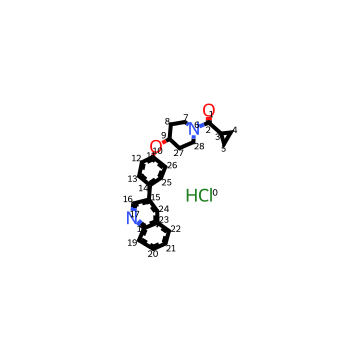 Cl.O=C(C1CC1)N1CCC(Oc2ccc(-c3cnc4ccccc4c3)cc2)CC1